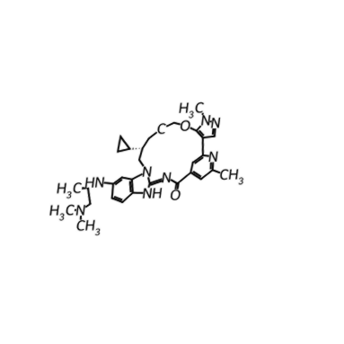 Cc1cc2cc(n1)-c1cnn(C)c1OCCC[C@@H](C1CC1)CN1/C(=N/C2=O)Nc2ccc(N[C@H](C)CN(C)C)cc21